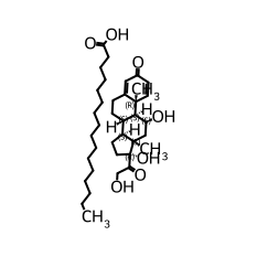 CCCCCCCCCCCCCCCC(=O)O.C[C@]12C=CC(=O)C=C1CC[C@@H]1[C@@H]2[C@@H](O)C[C@@]2(C)[C@H]1CC[C@]2(O)C(=O)CO